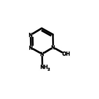 NN1N=NC=CN1O